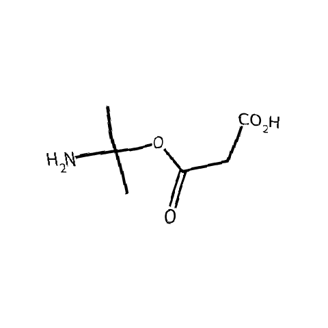 CC(C)(N)OC(=O)CC(=O)O